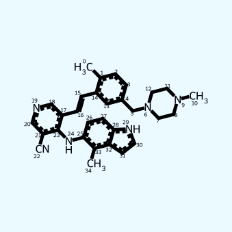 Cc1ccc(CN2CCN(C)CC2)cc1C=Cc1cncc(C#N)c1Nc1ccc2[nH]ccc2c1C